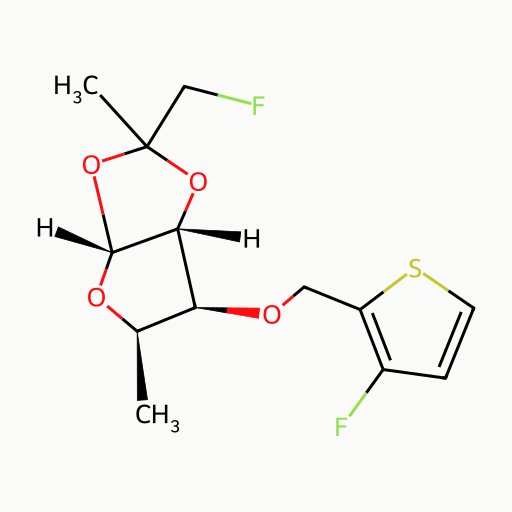 C[C@H]1O[C@@H]2OC(C)(CF)O[C@@H]2[C@H]1OCc1sccc1F